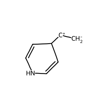 [CH2-][CH+]C1C=CNC=C1